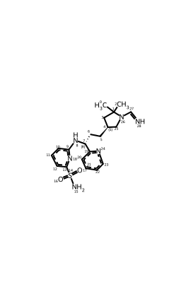 CC1(C)C[C@H](CC[C@@H](Nc2cccc(S(N)(=O)=O)n2)c2ccccn2)CN1C=N